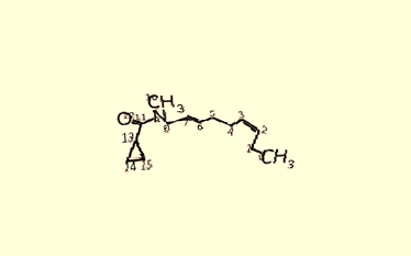 CC/C=C\CC/C=C/CN(C)C(=O)C1CC1